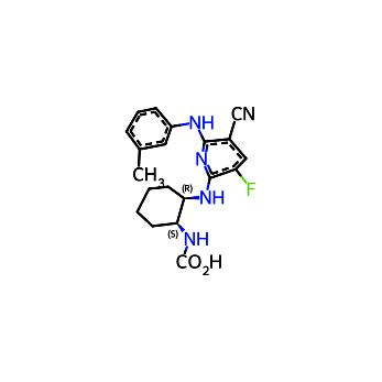 Cc1cccc(Nc2nc(N[C@@H]3CCCC[C@@H]3NC(=O)O)c(F)cc2C#N)c1